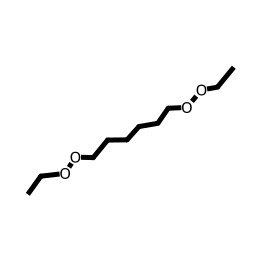 CCOOCCCCCCOOCC